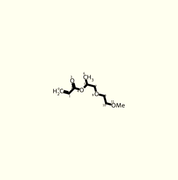 C=CC(=O)OC(C)COCCOC